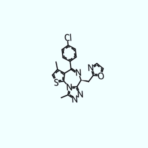 Cc1csc2c1C(c1ccc(Cl)cc1)=N[C@@H](Cc1ncco1)c1nnc(C)n1-2